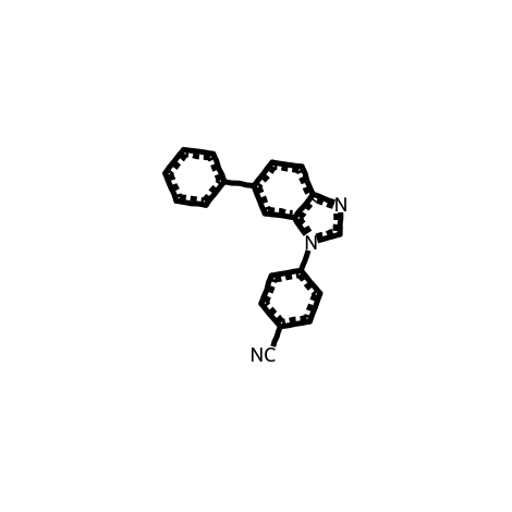 N#Cc1ccc(-n2cnc3ccc(-c4ccccc4)cc32)cc1